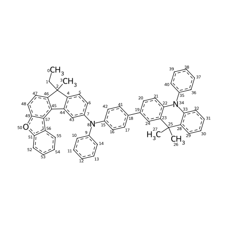 CCC1(C)c2ccc(N(c3ccccc3)c3ccc(-c4ccc5c(c4)C(C)(C)c4ccccc4N5c4ccccc4)cc3)cc2-c2c1ccc1oc3ccccc3c21